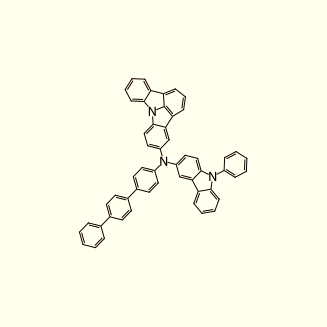 c1ccc(-c2ccc(-c3ccc(N(c4ccc5c(c4)c4ccccc4n5-c4ccccc4)c4ccc5c(c4)c4cccc6c7ccccc7n5c64)cc3)cc2)cc1